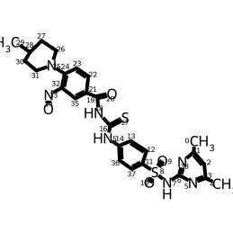 Cc1cc(C)nc(NS(=O)(=O)c2ccc(NC(=S)NC(=O)c3ccc(N4CCC(C)CC4)c(N=O)c3)cc2)n1